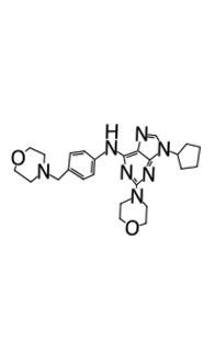 c1cc(Nc2nc(N3CCOCC3)nc3c2ncn3C2CCCC2)ccc1CN1CCOCC1